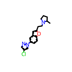 CC1CCCN1CCc1cc2cc(-n3cc(Cl)cn3)ccc2o1